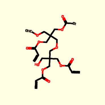 C=CC(=O)OCC(CO)(COCC(COC=O)(COC(=O)C=C)COC(=O)CC)COC(=O)C=C